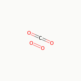 O=C=O.O=O